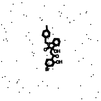 Cc1ccc(CN2C(=O)C(O)(CC(=O)c3ccc(Br)cc3O)c3ccccc32)cc1